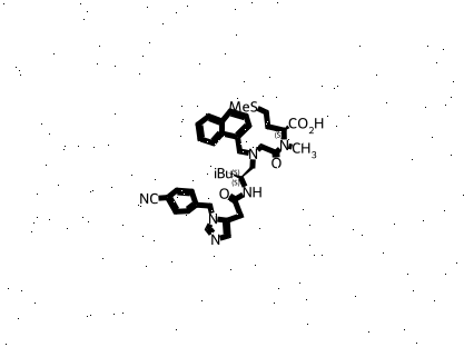 CC[C@H](C)[C@@H](CN(CC(=O)N(C)[C@@H](CCSC)C(=O)O)Cc1cccc2ccccc12)NC(=O)Cc1cncn1Cc1ccc(C#N)cc1